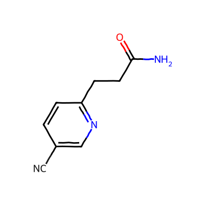 N#Cc1ccc(CCC(N)=O)nc1